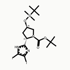 CC(C)(C)OC(=O)N1C[C@H](O[Si](C)(C)C(C)(C)C)C[C@H]1c1nc(I)c(I)[nH]1